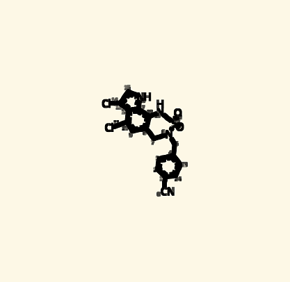 N#Cc1ccc(CN2Cc3cc(Cl)c4c(Cl)c[nH]c4c3NS2(=O)=O)cc1